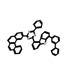 c1ccc(-c2cccc(-c3cccc4c3oc3cccc(-c5nc(-c6ccccc6)nc(-c6ccc7ccc8ccc9ccccc9c8c7c6)n5)c34)c2)cc1